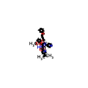 COc1ccccc1Oc1c(NS(=O)(=O)c2ccc(C(C)C)cn2)nc(-c2ccncc2)nc1OCC#CCOc1ccccc1